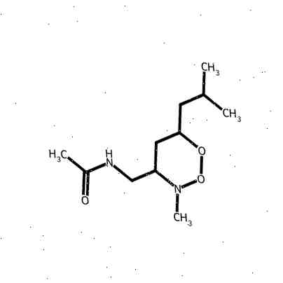 CC(=O)NCC1CC(CC(C)C)OON1C